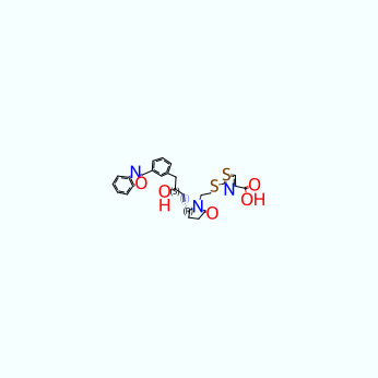 O=C(O)c1csc(SCCN2C(=O)CC[C@@H]2/C=C/[C@@H](O)Cc2cccc(-c3nc4ccccc4o3)c2)n1